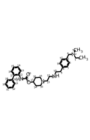 CCN(C)Cc1ccc(CCNCCN2CCC(OC(=O)Nc3ccccc3-c3ccccc3)CC2)cc1